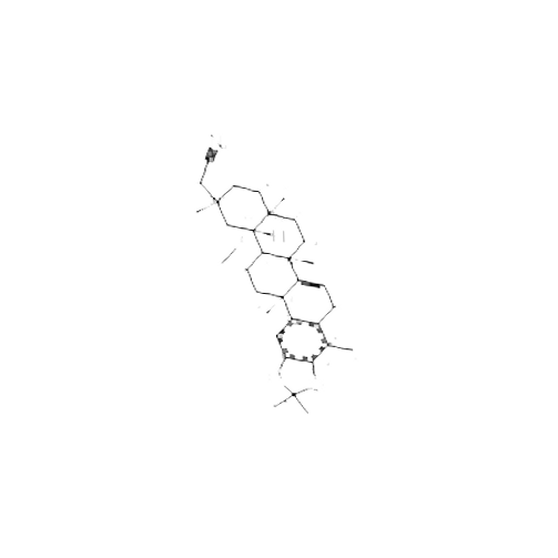 CC[C@@]12CC[C@]3(C)C(=CCc4c3cc3c(c4C)OC(C)(C)O3)[C@@]1(C)CC[C@@]1(C)CC[C@@](C)(CC#N)C[C@H]12